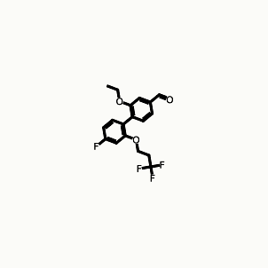 CCOc1cc(C=O)ccc1-c1ccc(F)cc1OCCC(F)(F)F